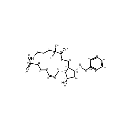 CCCCC(F)(F)C(=O)CC[C@@H]1[C@@H](C/C=C\CCCC(=O)O)[C@H](O)C[C@H]1OCc1ccccc1